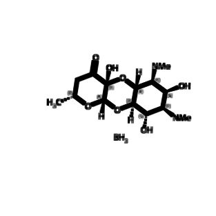 B.CN[C@@H]1[C@H](O)[C@H](NC)[C@H]2O[C@@]3(O)C(=O)C[C@@H](C)O[C@H]3O[C@@H]2[C@H]1O